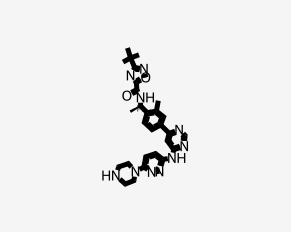 Cc1cc(-c2cc(Nc3ccc(N4CCNCC4)nn3)ncn2)ccc1[C@@H](C)NC(=O)c1nc(C(C)(C)C)no1